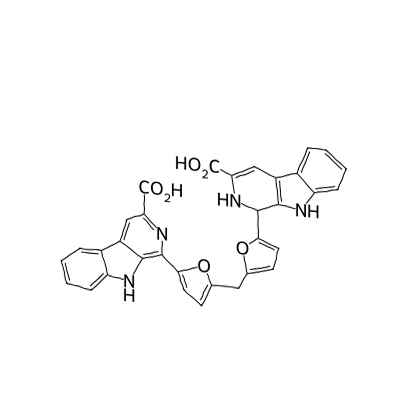 O=C(O)C1=Cc2c([nH]c3ccccc23)C(c2ccc(Cc3ccc(-c4nc(C(=O)O)cc5c4[nH]c4ccccc45)o3)o2)N1